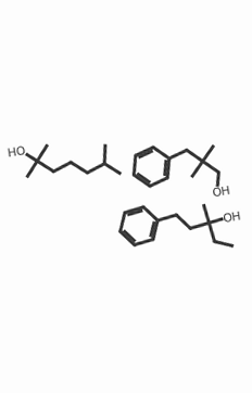 CC(C)(CO)Cc1ccccc1.CC(C)CCCC(C)(C)O.CCC(C)(O)CCc1ccccc1